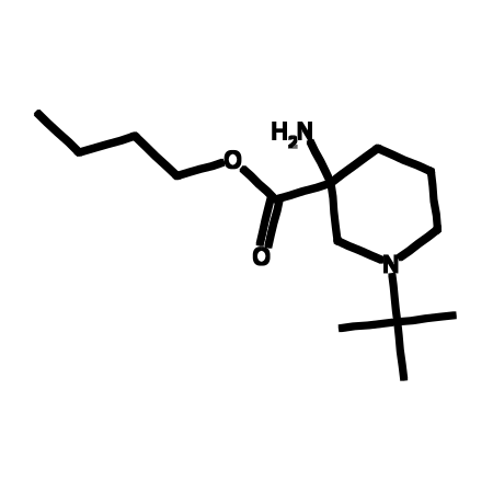 CCCCOC(=O)C1(N)CCCN(C(C)(C)C)C1